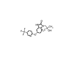 CC(C)(O)Cn1c(=O)[nH]c2cc(Oc3ccc(C(F)(F)F)cn3)ccc21